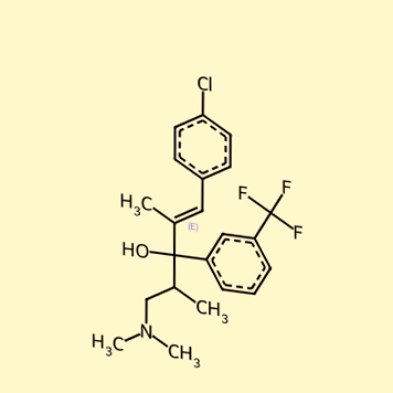 C/C(=C\c1ccc(Cl)cc1)C(O)(c1cccc(C(F)(F)F)c1)C(C)CN(C)C